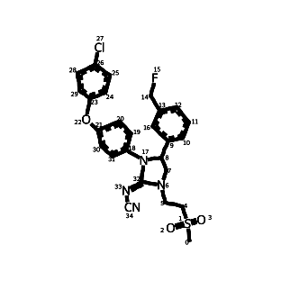 CS(=O)(=O)CCN1CC(c2cccc(CF)c2)N(c2ccc(Oc3ccc(Cl)cc3)cc2)/C1=N/C#N